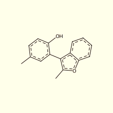 Cc1ccc(O)c(-c2c(C)oc3ccccc23)c1